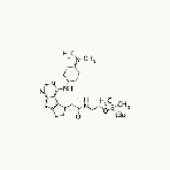 CN(C)[C@H]1CC[C@H](Nc2ncnc3sc4c(c23)C(CC(=O)NCCO[Si](C)(C)C(C)(C)C)CC4)CC1